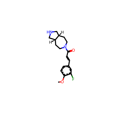 COc1ccc(/C=C/C(=O)N2CC[C@@H]3CNC[C@@H]3CC2)cc1F